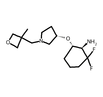 CC1(CN2CC[C@H](O[C@H]3CCCC(F)(F)[C@@H]3N)C2)COC1